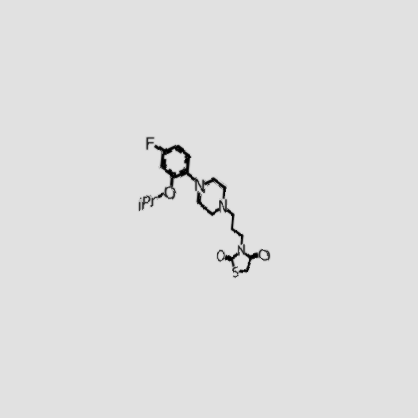 CC(C)Oc1cc(F)ccc1N1CCN(CCCN2C(=O)CSC2=O)CC1